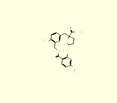 COc1ccc(C(=O)NCc2cc(CC3(C(=O)O)CCCO3)ccc2OC)c(F)c1